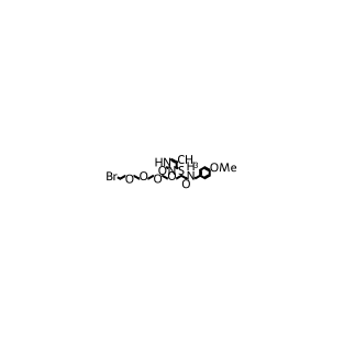 COc1ccc(CNC(=O)C(COCCOCCOCCOCCBr)Sc2nc(=O)[nH]cc2C)cc1